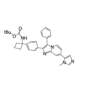 Cn1cncc1-c1ccn2c(-c3ccccc3)c(-c3ccc(C4(NC(=O)OC(C)(C)C)CCC4)cc3)nc2c1